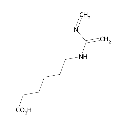 C=NC(=C)NCCCCCC(=O)O